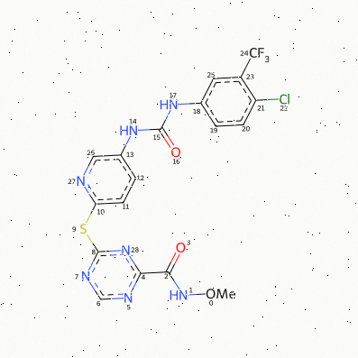 CONC(=O)c1ncnc(Sc2ccc(NC(=O)Nc3ccc(Cl)c(C(F)(F)F)c3)cn2)n1